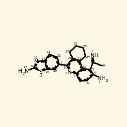 CC(=N)c1c(N)ccc2nc(-c3ccc4nc(N)sc4c3)c3c(c12)CCCC3